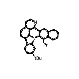 CC(C)c1c2ccccc2cc2c3nccc4ccc5c6ccc(C(C)(C)C)cc6n(c12)c5c43